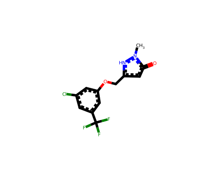 Cn1[nH]c(COc2cc(Cl)cc(C(F)(F)F)c2)cc1=O